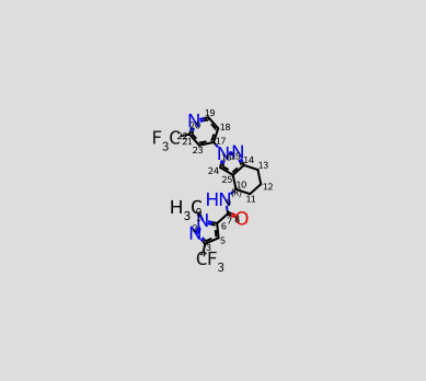 Cn1nc(C(F)(F)F)cc1C(=O)N[C@@H]1CCCc2nn(-c3ccnc(C(F)(F)F)c3)cc21